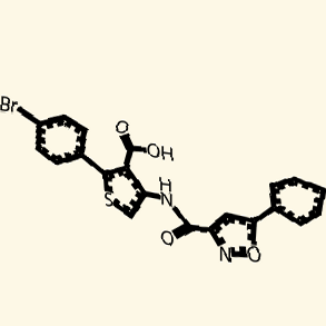 O=C(Nc1csc(-c2ccc(Br)cc2)c1C(=O)O)c1cc(-c2ccccc2)on1